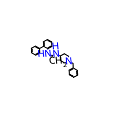 C=C(Nc1ccccc1-c1ccccc1)NC1CCN(Cc2ccccc2)CC1